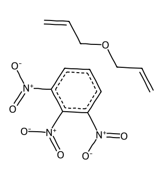 C=CCOCC=C.O=[N+]([O-])c1cccc([N+](=O)[O-])c1[N+](=O)[O-]